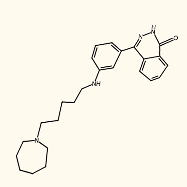 O=c1[nH]nc(-c2cccc(NCCCCCN3CCCCCC3)c2)c2ccccc12